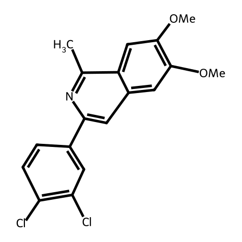 COc1cc2cc(-c3ccc(Cl)c(Cl)c3)nc(C)c2cc1OC